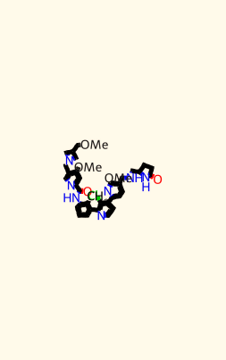 COCC1CN(Cc2cnc(C(=O)Nc3cccc(-c4nccc(-c5ccc(CNCC6CCC(=O)N6)c(OC)n5)c4Cl)c3C)cc2OC)C1